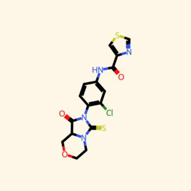 O=C(Nc1ccc(N2C(=O)C3COCCN3C2=S)c(Cl)c1)c1cscn1